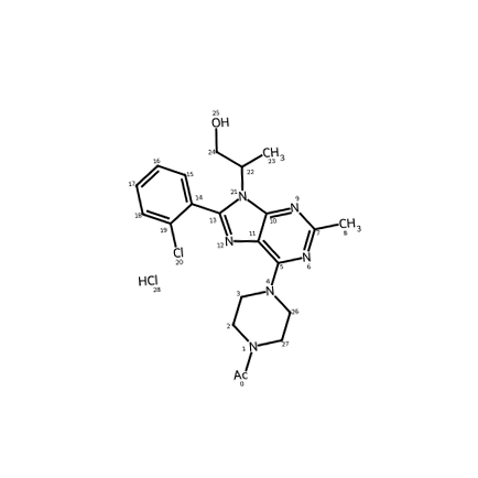 CC(=O)N1CCN(c2nc(C)nc3c2nc(-c2ccccc2Cl)n3C(C)CO)CC1.Cl